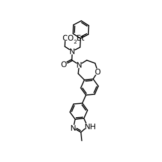 CCOC(=O)CN(Cc1ccccc1)C(=O)N1CCOc2ccc(-c3ccc4nc(C)[nH]c4c3)cc2C1